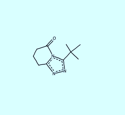 CC(C)(C)c1nnc2n1C(=O)CCC2